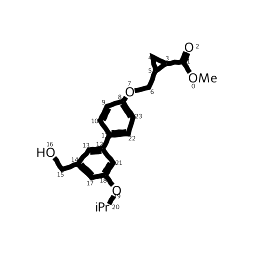 COC(=O)C1CC1COc1ccc(-c2cc(CO)cc(OC(C)C)c2)cc1